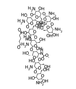 COC(=O)N[C@H]1[C@H](O[C@H]2[C@H](O)[C@@H](N)[C@H](O[C@H]3[C@H](O)[C@@H](N)[C@H](O)O[C@@H]3CO)O[C@@H]2CO)O[C@H](CO)[C@@H](O[C@@H]2O[C@H](CO)[C@@H](O[C@@H]3O[C@H](CO)[C@@H](O[C@@H]4O[C@H](CO)[C@@H](O[C@@H]5O[C@H](CO)[C@@H](O[C@@H]6O[C@H](CO)[C@@H](O[C@@H]7O[C@H](CO)[C@@H](O)[C@H](O)[C@H]7N)[C@H](O)[C@H]6N)[C@H](O)[C@H]5N)[C@H](O)[C@H]4N)[C@H](O)[C@H]3N)[C@H](O)[C@H]2N)[C@@H]1O.O=CCCCC=O